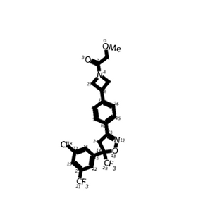 COCC(=O)N1CC(c2ccc(C3=NOC(c4cc(Cl)cc(C(F)(F)F)c4)(C(F)(F)F)C3)cc2)C1